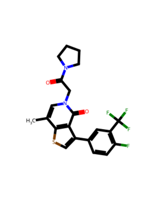 Cc1cn(CC(=O)N2CCCC2)c(=O)c2c(-c3ccc(F)c(C(F)(F)F)c3)csc12